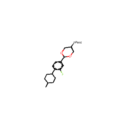 CCCCCC1COC(c2ccc(C3CCC(C)CC3)c(F)c2)OC1